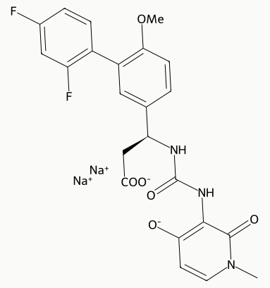 COc1ccc([C@H](CC(=O)[O-])NC(=O)Nc2c([O-])ccn(C)c2=O)cc1-c1ccc(F)cc1F.[Na+].[Na+]